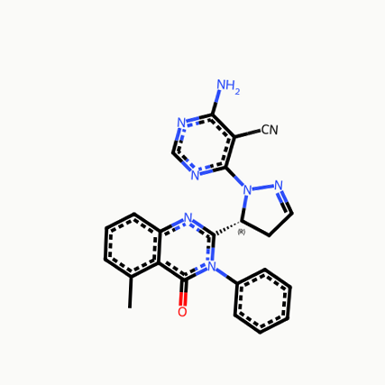 Cc1cccc2nc([C@H]3CC=NN3c3ncnc(N)c3C#N)n(-c3ccccc3)c(=O)c12